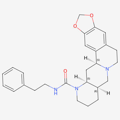 O=C(NCCc1ccccc1)N1CCC[C@@H]2CN3CCc4cc5c(cc4[C@@H]3C[C@@H]21)OCO5